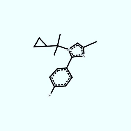 Cc1cn(C(C)(C)C2CC2)c(-c2ccc(F)cc2)n1